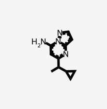 CC(c1cc(N)n2nccc2n1)C1CC1